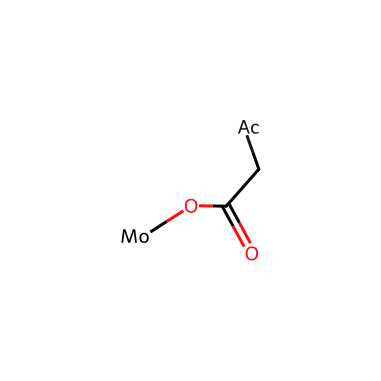 CC(=O)CC(=O)[O][Mo]